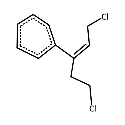 ClC/C=C(/CCCl)c1ccccc1